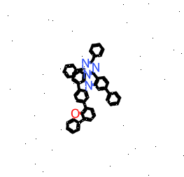 c1ccc(-c2ccc(-c3nc(-c4ccccc4)nc(-c4ccccc4)n3)c(-n3c4ccccc4c4ccc(-c5cccc6c5oc5ccccc56)cc43)c2)cc1